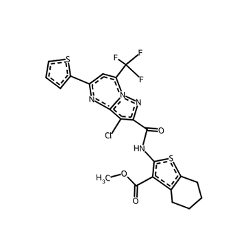 COC(=O)c1c(NC(=O)c2nn3c(C(F)(F)F)cc(-c4cccs4)nc3c2Cl)sc2c1CCCC2